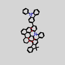 CC1(C)c2ccccc2-c2ccc(-c3ccccc3N(c3ccc(-c4ccc5c(c4)c4ccccc4n5-c4ccccc4)cc3)c3ccccc3-c3cccc4cccc(C5CCCCC5)c34)cc21